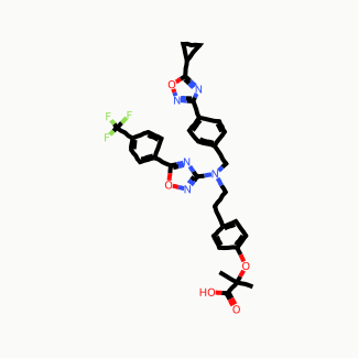 CC(C)(Oc1ccc(CCN(Cc2ccc(-c3noc(C4CC4)n3)cc2)c2noc(-c3ccc(C(F)(F)F)cc3)n2)cc1)C(=O)O